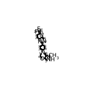 CN1NC=C2OCCN(c3ccc(-c4ncc5nc(C(F)(F)F)ccc5n4)cc3)C=C21